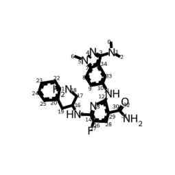 CN(C)c1nn(C)c2ccc(Nc3nc(NC(CN)Cc4ccccc4)c(F)cc3C(N)=O)cc12